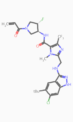 C=CC(=O)N1C[C@H](NC(=O)c2c(C(F)(F)F)nc(CNc3n[nH]c4cc(Cl)c(C(C)(C)C)cc34)n2C)[C@@H](F)C1